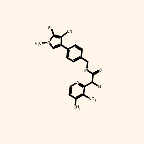 CCC(C(=O)NCc1ccc(-c2cn(C)c(Br)c2C#N)cc1)c1nccc(C)c1[N+](=O)[O-]